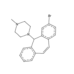 CN1CCN(C2c3ccccc3C=Cc3ccc(Br)cc32)CC1